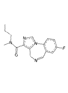 CCCN(C)C(=O)c1ncn2c1CN=Cc1cc(F)ccc1-2